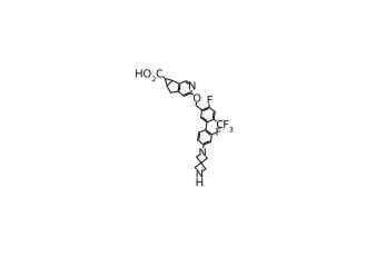 O=C(O)C1C2Cc3cc(OCc4cc(-c5ccc(N6CC7(CNC7)C6)cc5F)c(C(F)(F)F)cc4F)ncc3C21